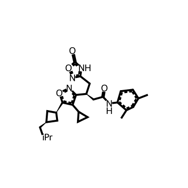 Cc1ccc(NC(=O)C[C@H](Cc2noc(=O)[nH]2)c2noc([C@H]3C[C@@H](CC(C)C)C3)c2C2CC2)c(C)c1